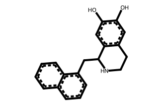 Oc1cc2c(cc1O)C(Cc1cccc3ccccc13)NCC2